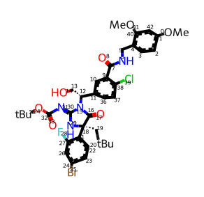 COc1ccc(CNC(=O)c2cc([C@@H](CO)N3C(=O)[C@@](CC(C)(C)C)(c4ccc(Br)cc4F)N/C3=N\C(=O)OC(C)(C)C)ccc2Cl)c(OC)c1